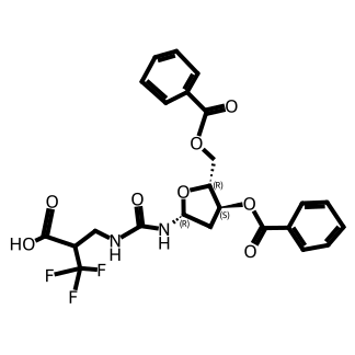 O=C(NCC(C(=O)O)C(F)(F)F)N[C@H]1C[C@H](OC(=O)c2ccccc2)[C@@H](COC(=O)c2ccccc2)O1